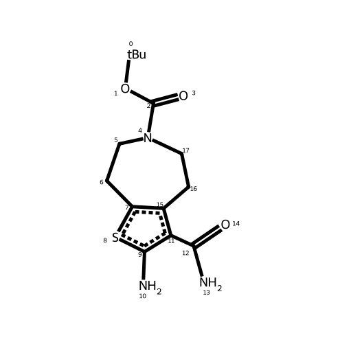 CC(C)(C)OC(=O)N1CCc2sc(N)c(C(N)=O)c2CC1